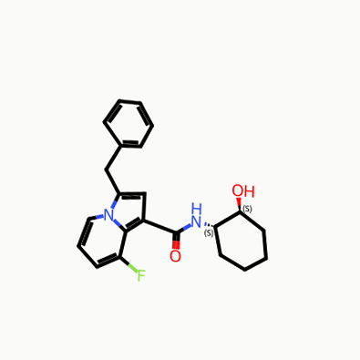 O=C(N[C@H]1CCCC[C@@H]1O)c1cc(Cc2ccccc2)n2cccc(F)c12